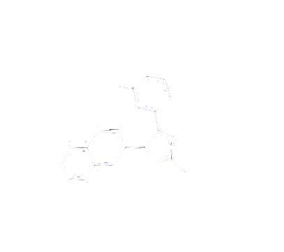 Cc1cccc(-c2nc(N)sc2-c2ccc3ncccc3n2)n1